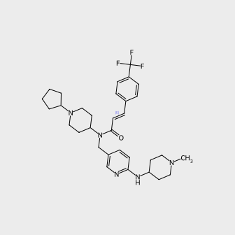 CN1CCC(Nc2ccc(CN(C(=O)/C=C/c3ccc(C(F)(F)F)cc3)C3CCN(C4CCCC4)CC3)cn2)CC1